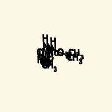 CCN(C)CCCOc1cccc(Nc2nc(Nc3ccccc3NS(C)(=O)=O)c3c(Cl)c[nH]c3n2)c1